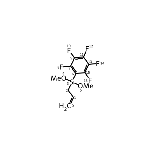 C=CC[Si](OC)(OC)c1c(F)c(F)c(F)c(F)c1F